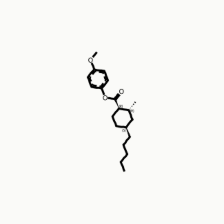 CCCCC[C@H]1CC[C@@H](C(=O)Oc2ccc(OC)cc2)[C@H](C)C1